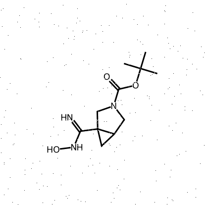 CC(C)(C)OC(=O)N1CC2CC2(C(=N)NO)C1